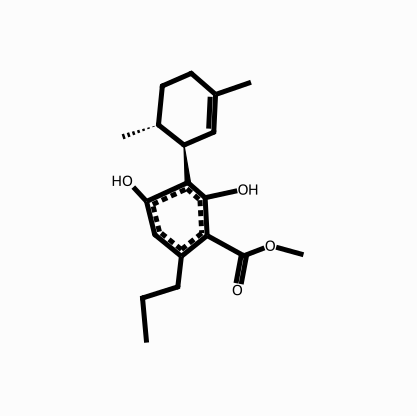 CCCc1cc(O)c([C@@H]2C=C(C)CC[C@H]2C)c(O)c1C(=O)OC